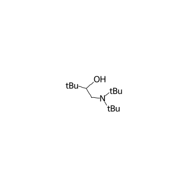 CC(C)(C)C(O)CN(C(C)(C)C)C(C)(C)C